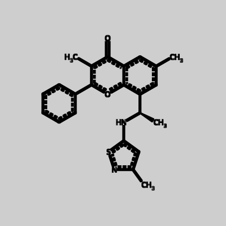 Cc1cc([C@@H](C)Nc2cc(C)ns2)c2oc(-c3ccccc3)c(C)c(=O)c2c1